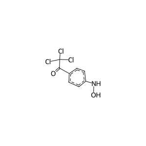 O=C(c1ccc(NO)cc1)C(Cl)(Cl)Cl